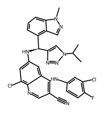 CC(C)n1cc([C@@H](Nc2cc(Cl)c3ncc(C#N)c(Nc4ccc(F)c(Cl)c4)c3c2)c2cccc3c2cnn3C)nn1